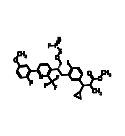 B#P(F)SOC[C@H](Cc1cc(C(C2CC2)[C@H](C)C(=O)OC)ccc1I)c1ccc(-c2cc(OC)ccc2F)nc1C(F)(F)F